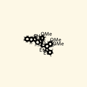 CCC1(CC)c2ccccc2-c2c1c1c(c3cc(OC)c(OC)cc23)OC(C2=CC3=C(CC2)c2cc4ccccc4cc2C3(C)C)(c2ccc(OC)cc2)C=C1